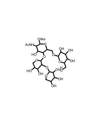 COC1OC(COC2OC(CO)C(O)C(O)C2O)C(OC2OCC(O)C(O)C2OC2OCC(O)C(O)C2O)C(O)C1NC(C)=O